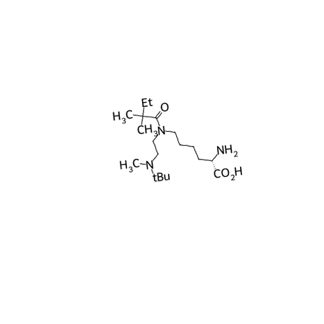 CCC(C)(C)C(=O)N(CCCC[C@H](N)C(=O)O)CCN(C)C(C)(C)C